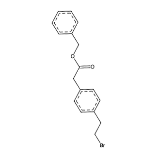 O=C(Cc1ccc(CCBr)cc1)OCc1ccccc1